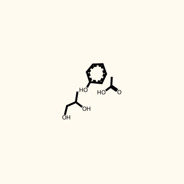 CC(=O)O.CC(O)CO.Oc1ccccc1